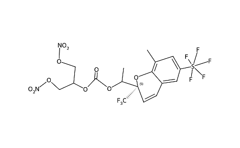 Cc1cc(S(F)(F)(F)(F)F)cc2c1O[C@@](C(C)OC(=O)OC(CO[N+](=O)[O-])CO[N+](=O)[O-])(C(F)(F)F)C=C2